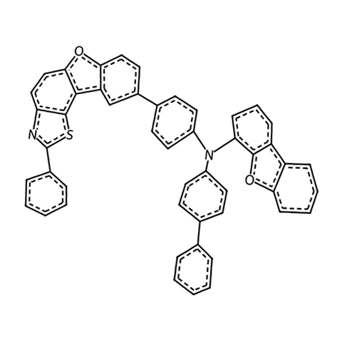 c1ccc(-c2ccc(N(c3ccc(-c4ccc5oc6ccc7nc(-c8ccccc8)sc7c6c5c4)cc3)c3cccc4c3oc3ccccc34)cc2)cc1